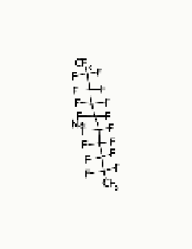 FC(F)(F)C(F)(F)C(F)(F)C(F)(F)C(F)(F)C(F)(F)C(F)(F)C(F)(F)C(F)(F)C(F)(F)F.[Na]